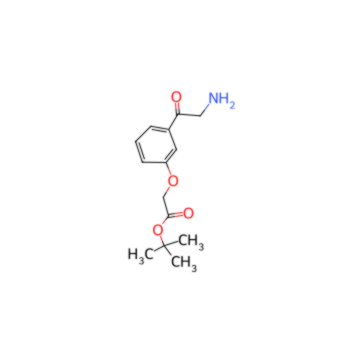 CC(C)(C)OC(=O)COc1cccc(C(=O)CN)c1